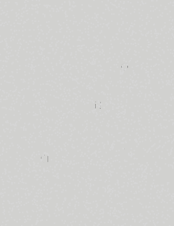 O=CN1CCCC(Cl)C1